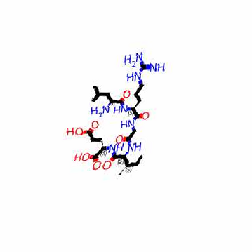 CC[C@H](C)[C@H](NC(=O)CNC(=O)[C@H](CCCNC(=N)N)NC(=O)[C@@H](N)CC(C)C)C(=O)N[C@@H](CCC(=O)O)C(=O)O